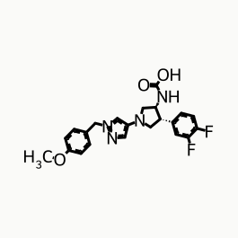 COc1ccc(Cn2cc(N3C[C@@H](NC(=O)O)[C@H](c4ccc(F)c(F)c4)C3)cn2)cc1